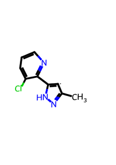 Cc1[c]c(-c2ncccc2Cl)[nH]n1